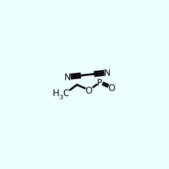 CCOP=O.N#CC#N